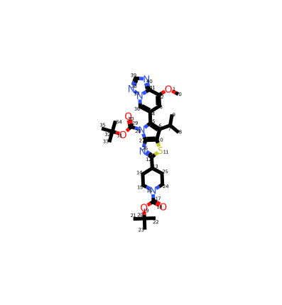 COc1cc(-c2c(C(C)C)c3sc(C4CCN(C(=O)OC(C)(C)C)CC4)nc3n2C(=O)OC(C)(C)C)cn2ncnc12